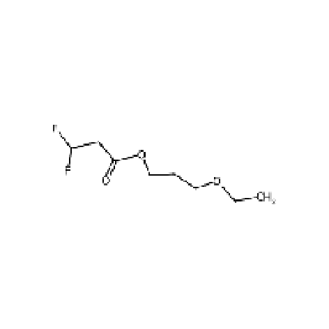 CCOCCCOC(=O)CC(F)F